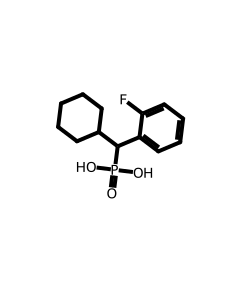 O=P(O)(O)C(c1ccccc1F)C1CCCCC1